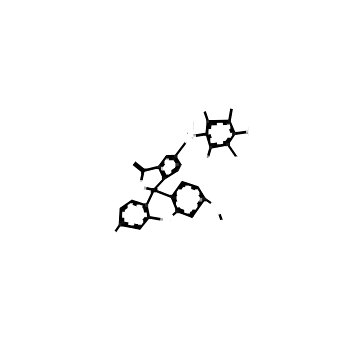 Cc1ccc2c(c1)Oc1cc(OC(C)C)ccc1C21OC(=O)c2cc(Nc3c(F)c(F)c(F)c(F)c3F)ccc21